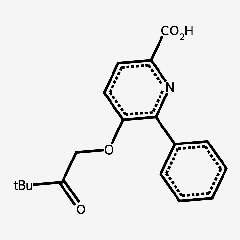 CC(C)(C)C(=O)COc1ccc(C(=O)O)nc1-c1ccccc1